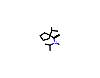 C=C(N(C)C(C)C)C1(C(C)C)CCCC1